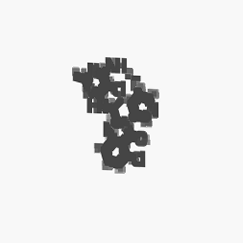 Cc1nc(N)c(Cl)c(N[C@@H](C)c2nc3cccc(Cl)c3c(=O)n2-c2cncc(F)c2)n1